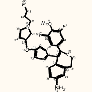 COc1c(F)cc(C2=C(c3ccc(OC4CCN(CCCF)C4)cc3)c3ccc(N)cc3CCC2)cc1F